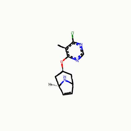 Cc1c(Cl)ncnc1O[C@H]1CC2C=C[C@@H](C1)N2